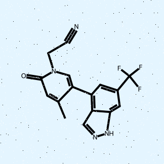 Cc1cc(=O)n(CC#N)cc1-c1cc(C(F)(F)F)cc2[nH]ncc12